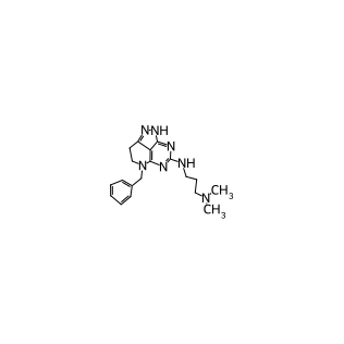 CN(C)CCCNc1nc2c3c(n[nH]c3n1)CCN2Cc1ccccc1